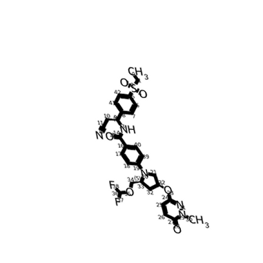 CCS(=O)(=O)c1ccc([C@H](CC#N)NC(=O)c2ccc(N3C[C@@H](Oc4ccc(=O)n(C)n4)C[C@H]3COC(F)F)cc2)cc1